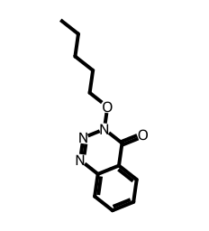 CCCCCOn1nnc2ccccc2c1=O